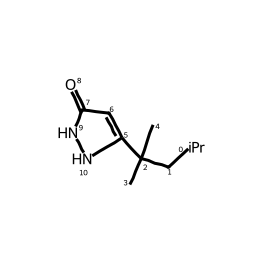 CC(C)CC(C)(C)c1cc(=O)[nH][nH]1